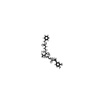 CC(C)[C@H](NC(=O)CNC(=O)C1CC1c1ccc(F)c(F)c1)C(=O)NCCCC(=O)OCc1ccccc1